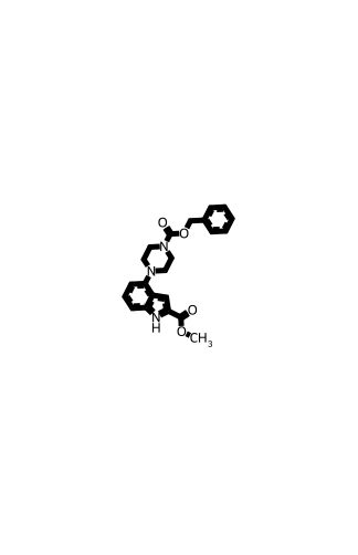 COC(=O)c1cc2c(N3CCN(C(=O)OCc4ccccc4)CC3)cccc2[nH]1